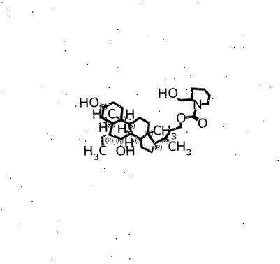 CC[C@H]1[C@@H](O)[C@@H]2[C@H](CC[C@]3(C)[C@@H]([C@H](C)CCOC(=O)N4CCCCC4CO)CC[C@@H]23)[C@@]2(C)CC[C@@H](O)C[C@@H]12